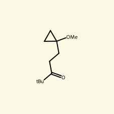 COC1(CCC(=O)C(C)(C)C)CC1